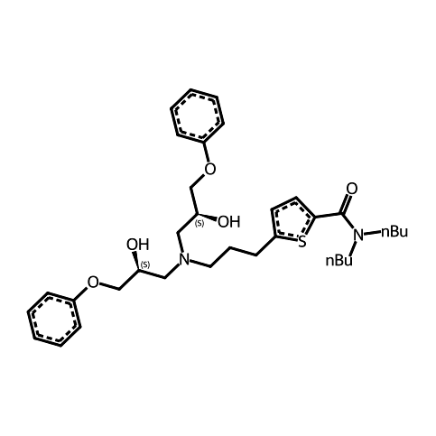 CCCCN(CCCC)C(=O)c1ccc(CCCN(C[C@H](O)COc2ccccc2)C[C@H](O)COc2ccccc2)s1